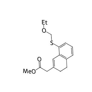 CCOCSc1cccc2c1C=C(CC(=O)OC)CC2